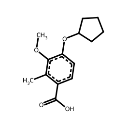 COc1c(OC2CCCC2)ccc(C(=O)O)c1C